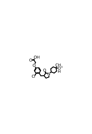 CC1(O)CCC(N2CCC(Cc3ccc(OCC(=O)O)cc3Cl)C2=O)CC1